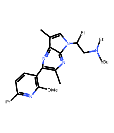 CCCCN(CC)CC(CC)n1cc(C)c2nc(-c3ccc(C(C)C)nc3OC)c(C)nc21